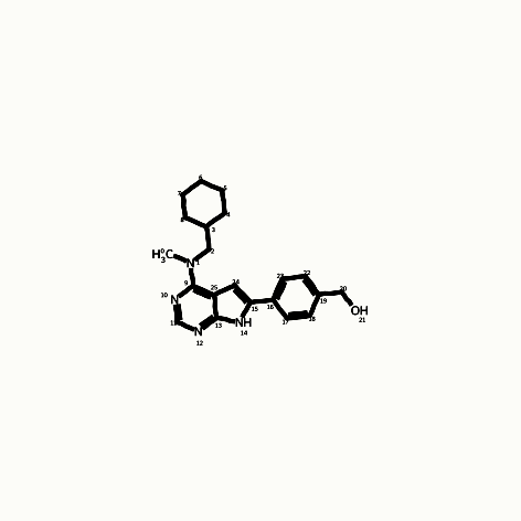 CN(CC1CCCCC1)c1ncnc2[nH]c(-c3ccc(CO)cc3)cc12